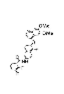 COc1cc2nccc(Oc3ccc4cc(NC(=O)c5cccc(F)c5F)ccc4c3F)c2cc1OC